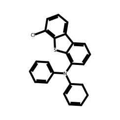 Clc1cccc2c1sc1c(N(C3=CC=CCC3)c3ccccc3)cccc12